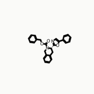 O=C(OCc1ccccc1)N1Cc2ccccc2C[C@H]1c1ncc(-c2ccccc2)o1